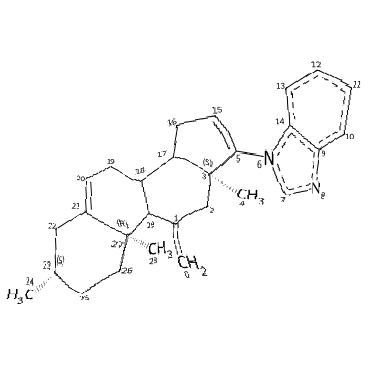 C=C1C[C@]2(C)C(n3cnc4ccccc43)=CCC2C2CC=C3C[C@@H](C)CC[C@]3(C)C12